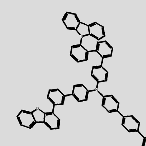 c1ccc(-c2ccc(-c3ccc(N(c4ccc(-c5cccc(-c6cccc7c6oc6ccccc67)c5)cc4)c4ccc(-c5ccccc5-c5ccccc5-n5c6ccccc6c6ccccc65)cc4)cc3)cc2)cc1